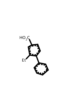 CCc1cc(C(=O)O)ccc1-c1ccccc1